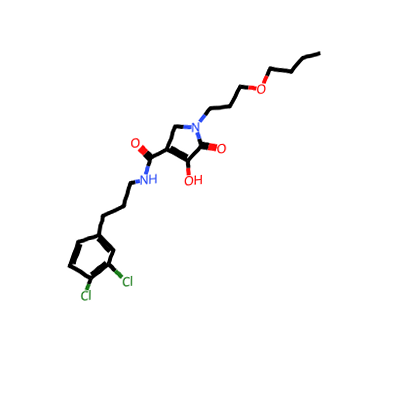 CCCCOCCCN1CC(C(=O)NCCCc2ccc(Cl)c(Cl)c2)=C(O)C1=O